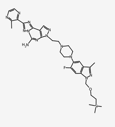 Cc1nccnc1-c1nc2c3cnn(CCN4CCN(c5cc6c(C)nn(COCC[Si](C)(C)C)c6cc5F)CC4)c3nc(N)n2n1